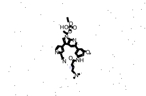 CCOP(=O)(O)OC(C)n1cc(-c2ccnc(C#N)c2)c2cc(-c3cc(NC(=O)/C=C/CN(C)C)cc(OC)c3)cnc21